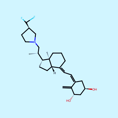 C=C1/C(=C\C=C2/CCC[C@]3(C)[C@@H]([C@H](C)CN4CC[C@@H](C(F)F)C4)CC[C@@H]23)C[C@@H](O)C[C@@H]1O